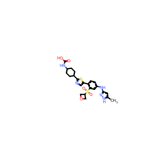 Cc1cc(Nc2ccc(-c3cnc(C4CCC(NC(=O)O)CC4)s3)c(S(=O)(=O)C3COC3)c2)n[nH]1